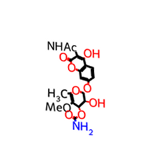 COC1=C(C)OC(Oc2ccc3c(O)c(NC(C)=O)c(=O)oc3c2)[C@@H](O)[C@H]1OC(N)=O